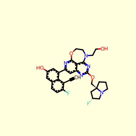 C#Cc1c(F)ccc2cc(O)cc(-c3cc4nc(OC[C@@]56CCCN5C[C@H](F)C6)nc5c4c(n3)OCCN5CCO)c12